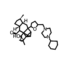 CC(C)C1=CC2CC3(C=O)[C@@H]4CC[C@@H](C)[C@H]4CC2(C2CCC(CN4CCN(C5CCCCC5)CC4)O2)C13C(=O)O